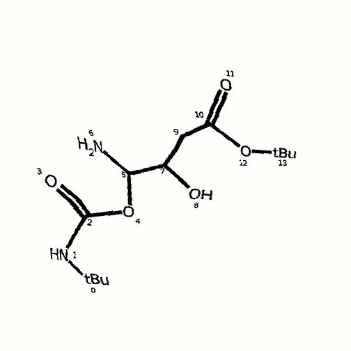 CC(C)(C)NC(=O)OC(N)C(O)CC(=O)OC(C)(C)C